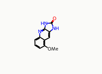 COc1cccc2nc3[nH]c(=O)[nH]c3cc12